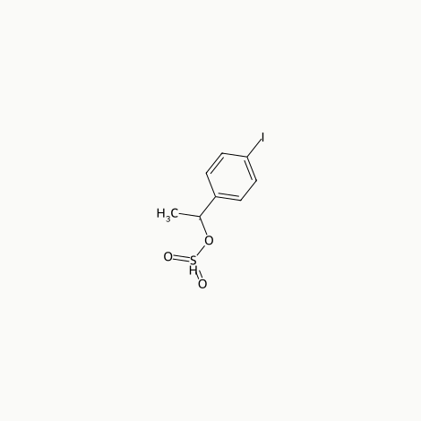 C[C](O[SH](=O)=O)c1ccc(I)cc1